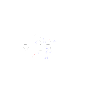 COc1cc(Nc2nc(N[C@@H]3CCN(C(=O)OCc4ccccc4)C[C@@H]3N)c(F)cc2C(N)=O)ccn1